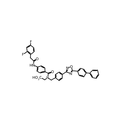 O=C(O)CN(Cc1ccc(-c2noc(-c3ccc(-c4ccccc4)cc3)n2)cc1)C(=O)c1ccc(NC(=O)Cc2ccc(F)cc2F)cc1